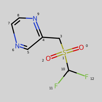 O=S(=O)(Cc1cnccn1)[C](F)F